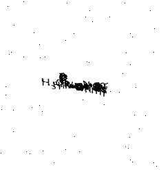 CC(NC(=S)N/N=C/c1ccc(C(=N)/N=C\Nc2ccc(OC(F)(F)F)cc2)cc1)c1ccccc1